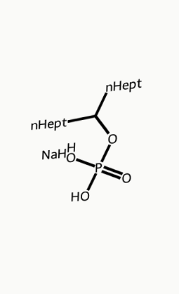 CCCCCCCC(CCCCCCC)OP(=O)(O)O.[NaH]